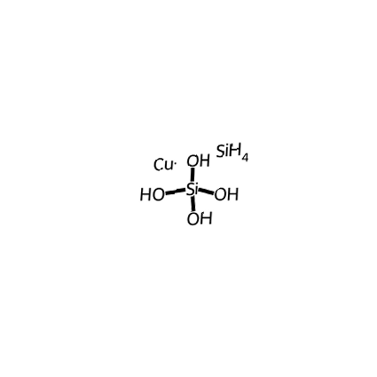 O[Si](O)(O)O.[Cu].[SiH4]